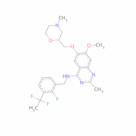 COc1cc2nc(C)nc(NCc3cccc(C(C)(F)F)c3F)c2cc1OCC1CN(C)CCO1